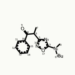 CCC(C)N(C)c1nc(C(C)C(=O)c2ccccc2)no1